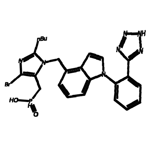 CCCCc1nc(Br)c(C[PH](=O)O)n1Cc1cccc2c1ccn2-c1ccccc1-c1nn[nH]n1